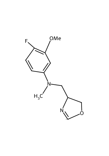 COc1cc(N(C)CC2CO[C]=N2)ccc1F